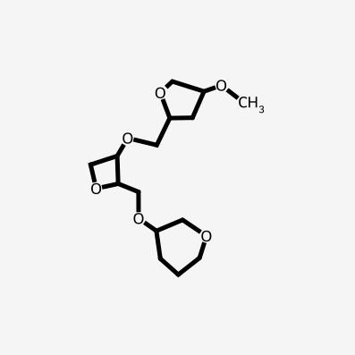 COC1COC(COC2COC2COC2CCCOC2)C1